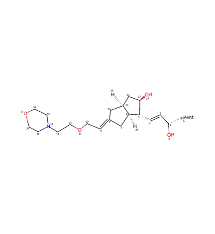 CCCCC[C@H](O)/C=C/[C@@H]1[C@H]2CC(=CCOCCN3CCOCC3)C[C@H]2C[C@H]1O